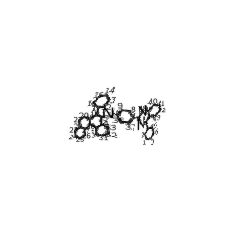 c1ccc(-c2nc(-c3ccc(-n4c5ccccc5c5c6ccc7ccccc7c6c6ccccc6c54)cc3)nc3ccccc23)cc1